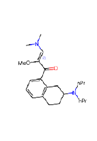 CCCN(CCC)C1CCc2cccc(C(=O)/C(=C/N(C)C)OC)c2C1